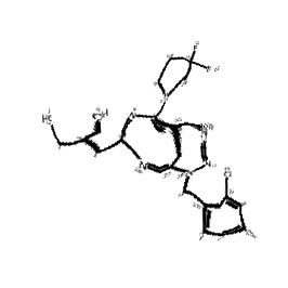 OC(CS)Cc1nc(N2CCC(F)(F)C2)c2nnn(Cc3ccccc3Cl)c2n1